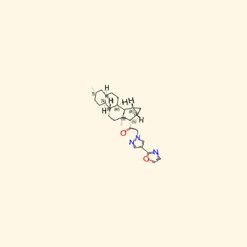 C[C@H]1CC[C@H]2[C@H](CC[C@H]3C4[C@@H]5C[C@@H]5[C@H](C(=O)Cn5cc(-c6ncco6)cn5)[C@@]4(C)CC[C@H]23)C1